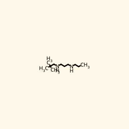 CCCNCCCNCC(C)(C)C